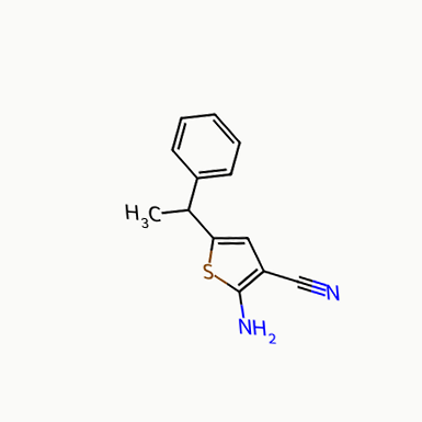 CC(c1ccccc1)c1cc(C#N)c(N)s1